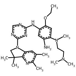 CCOc1cc(N(C)CCN(C)C)c(N)cc1Nc1ncnc(N2CC(C)(C)c3nc(C)c(C)cc32)n1